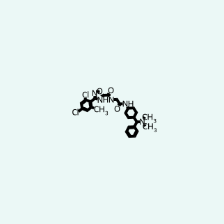 Cc1cc(Cl)cc(Cl)c1-c1noc(C(=O)NCC(=O)NC2CCC(C(c3ccccc3)N(C)C)CC2)n1